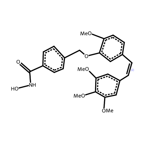 COc1ccc(/C=C\c2cc(OC)c(OC)c(OC)c2)cc1OCc1ccc(C(=O)NO)cc1